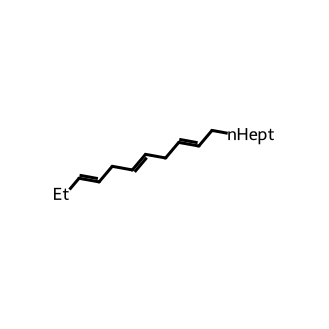 [CH2]CCCCCCC/C=C/C/C=C/C/C=C/CC